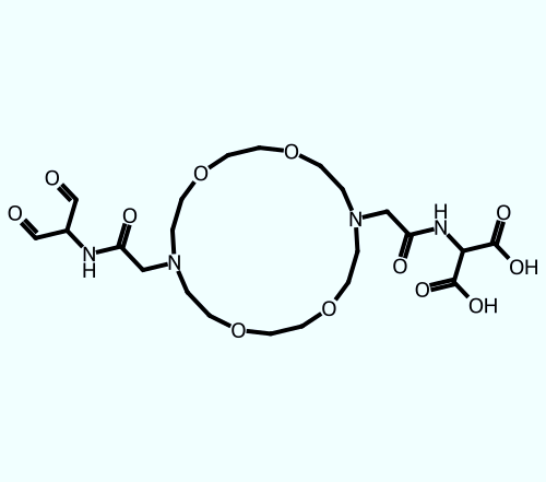 O=CC(C=O)NC(=O)CN1CCOCCOCCN(CC(=O)NC(C(=O)O)C(=O)O)CCOCCOCC1